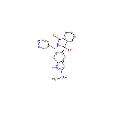 CN(C(=O)O)c1nc2cc(C3(O)c4ccccc4C(=O)N3Cc3cccnc3)ccc2[nH]1